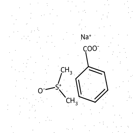 C[S+](C)[O-].O=C([O-])c1ccccc1.[Na+]